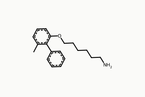 Cc1cccc(OCCCCCCN)c1-c1ccccc1